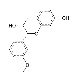 COc1cccc([C@H]2Oc3cc(O)ccc3C[C@H]2O)c1